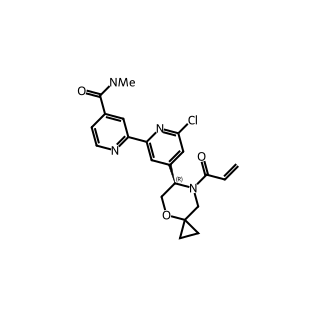 C=CC(=O)N1CC2(CC2)OC[C@H]1c1cc(Cl)nc(-c2cc(C(=O)NC)ccn2)c1